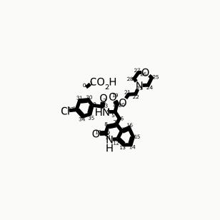 CC(=O)O.O=C(NC(Cc1cc(=O)[nH]c2ccccc12)C(=O)OCCN1CCOCC1)c1ccc(Cl)cc1